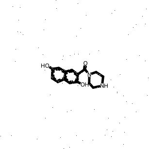 O=C(c1cc2cc(O)ccc2cc1O)N1CCNCC1